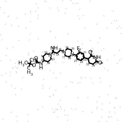 CC(C)(C)OC(=O)NC1CCN(C(=N)CCN2CCN(c3ccc(C4CCC(=O)NC4=O)cc3F)CC2)CC1